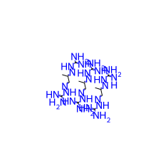 CC(/C=N/NC(=N)N)=N\NC(=N)N.CC(/C=N/NC(=N)N)=N\NC(=N)N.CC(/C=N/NC(=N)N)=N\NC(=N)N